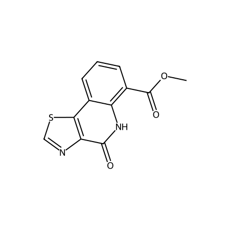 COC(=O)c1cccc2c1[nH]c(=O)c1ncsc12